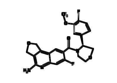 Nc1nc2cc(F)c(C(=O)N3CCOC[C@@H]3c3ccc(F)c(OC(F)(F)F)c3)cc2c2c1COC2